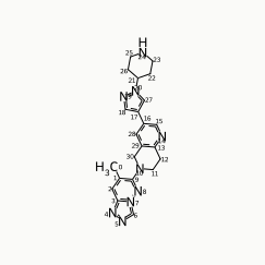 Cc1cc2nncn2nc1N1CCc2ncc(-c3cnn(C4CCNCC4)c3)cc2C1